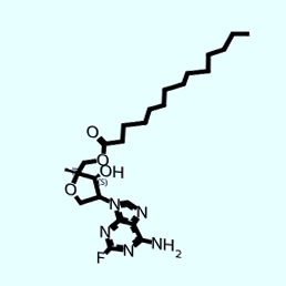 CCCCCCCCCCCCCC(=O)OC[C@@]1(C)OCC(n2cnc3c(N)nc(F)nc32)[C@@H]1O